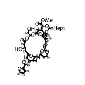 CCCCCCCC(=O)O[C@H]1/C(=C/C(=O)OC)C[C@H]2C[C@H](CO)OC(=O)C[C@H](O)C[C@@H]3C[C@H](OC(=O)c4ccco4)C[C@H](C[C@@H]4CCO[C@H](/C=C/C(C)(C)[C@]1(O)O2)O4)O3